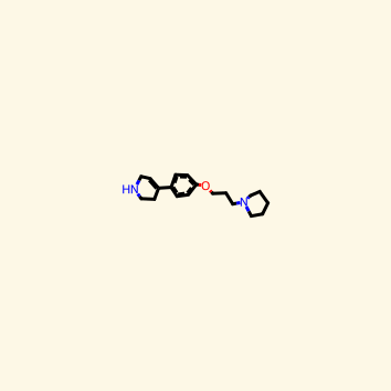 C1=C(c2ccc(OCCCN3CCCCC3)cc2)CCNC1